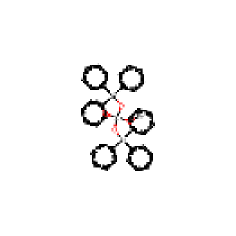 CC[O][Zr]([O]CC)([O][Si](c1ccccc1)(c1ccccc1)c1ccccc1)[O][Si](c1ccccc1)(c1ccccc1)c1ccccc1